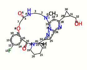 CN1CCNC(=O)COc2ccc(F)cc2C(=O)N2CCCC[C@H]2c2cc3nc(C4CC4CO)cc1n3n2